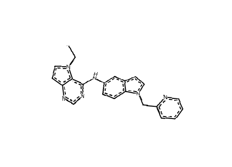 [CH2]Cn1ccc2ncnc(Nc3ccc4c(ccn4Cc4ccccn4)c3)c21